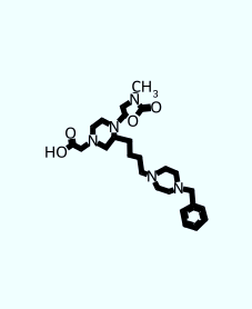 CN1CC(N2CCN(CC(=O)O)CC2CCCCN2CCN(Cc3ccccc3)CC2)OC1=O